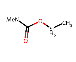 CNC(=O)O[SiH2]C